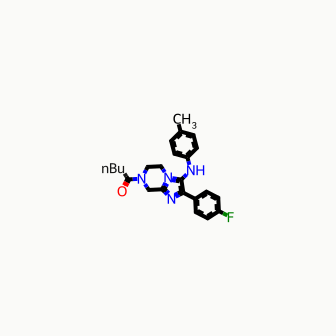 CCCCC(=O)N1CCn2c(nc(-c3ccc(F)cc3)c2Nc2ccc(C)cc2)C1